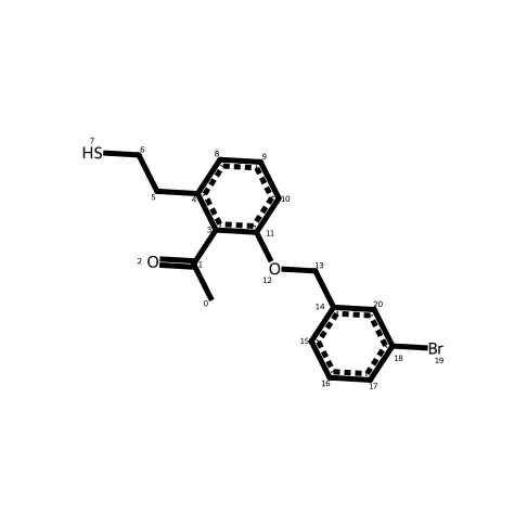 CC(=O)c1c(CCS)cccc1OCc1cccc(Br)c1